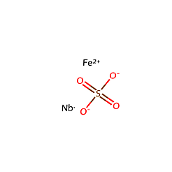 O=S(=O)([O-])[O-].[Fe+2].[Nb]